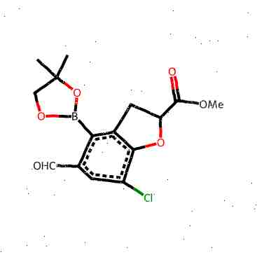 COC(=O)C1Cc2c(c(Cl)cc(C=O)c2B2OCC(C)(C)O2)O1